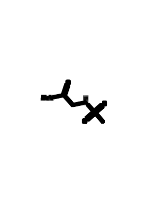 CNC(=O)CNS(C)(=O)=O